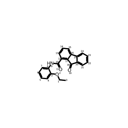 CCOc1ccccc1NC(=O)c1cccc2c1C(=O)c1ccccc1-2